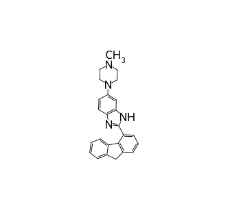 CN1CCN(c2ccc3nc(-c4cccc5c4-c4ccccc4C5)[nH]c3c2)CC1